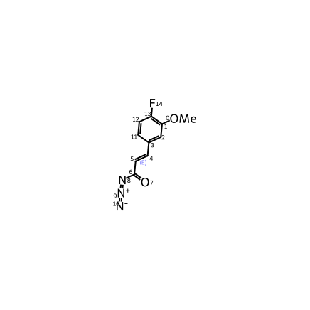 COc1cc(/C=C/C(=O)N=[N+]=[N-])ccc1F